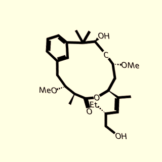 CC[C@H](/C=C(/C)[C@@H]1C[C@@H](OC)C[C@H](O)C(C)(C)c2cccc(c2)C[C@@H](OC)[C@H](C)C(=O)O1)CO